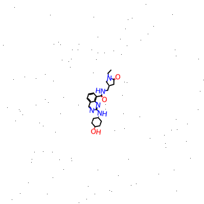 CCN1CC(CNC(=O)c2cccc3cnc(N[C@H]4CC[C@H](O)CC4)nc23)CC1=O